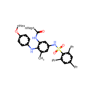 CCCCCCCC(=O)Nc1cc(NS(=O)(=O)c2c(C(C)C)cc(C(C)C)cc2C(C)C)cc(C)c1Nc1ccc(OCCCCCC)cc1